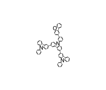 c1ccc(-n2c3ccccc3c3cc(-c4ccc5c(c4)c4cc(-c6ccc7c(c6)c6ccccc6n7-c6ccccc6)ccc4n5-c4cccc(-c5ccc6oc7ccccc7c6c5)c4)ccc32)cc1